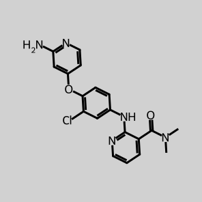 CN(C)C(=O)c1cccnc1Nc1ccc(Oc2ccnc(N)c2)c(Cl)c1